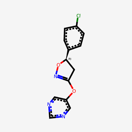 Clc1ccc([C@H]2CC(Oc3cncnc3)=NO2)cc1